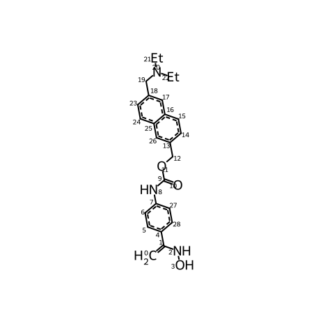 C=C(NO)c1ccc(NC(=O)OCc2ccc3cc(CN(CC)CC)ccc3c2)cc1